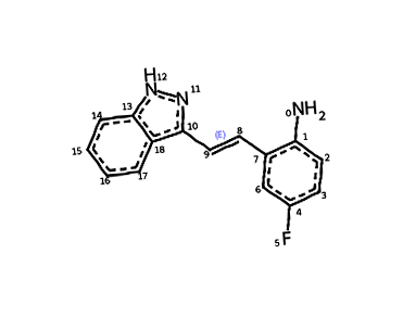 Nc1ccc(F)cc1/C=C/c1n[nH]c2ccccc12